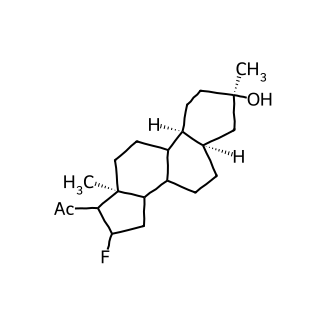 CC(=O)C1C(F)CC2C3CC[C@@H]4C[C@](C)(O)CC[C@@H]4C3CC[C@@]21C